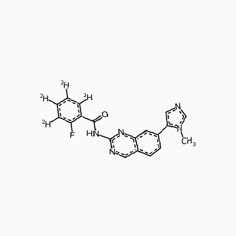 [2H]c1c([2H])c([2H])c(C(=O)Nc2ncc3ccc(-c4cncn4C)cc3n2)c(F)c1[2H]